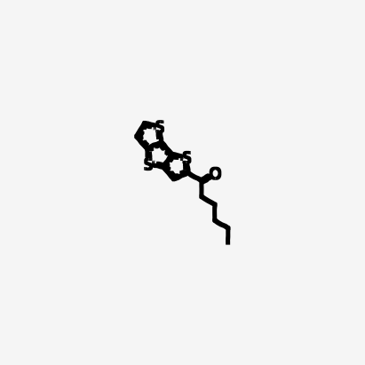 CCCCCC(=O)c1cc2sc3ccsc3c2s1